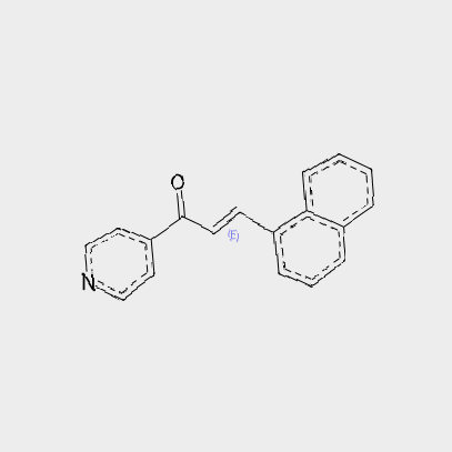 O=C(/C=C/c1cccc2ccccc12)c1ccncc1